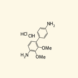 COc1c(N)ccc(-c2ccc(N)cc2)c1OC.Cl.Cl